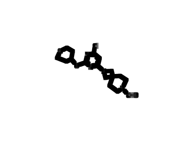 O=CN1CCC2(CC1)CN(c1cc(Cl)nc(OC3CCOCC3)n1)C2